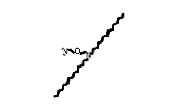 CCCCCCCCCCCCCCN(CCCCCCCCCCCCCC)CCOCCN(C)C